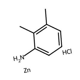 Cc1cccc(N)c1C.Cl.[Zn]